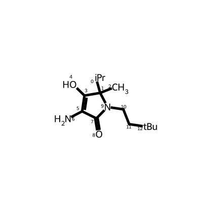 CC(C)C1(C)C(O)=C(N)C(=O)N1CCC(C)(C)C